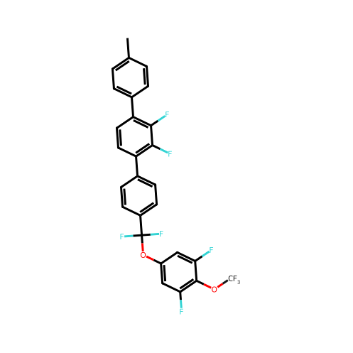 Cc1ccc(-c2ccc(-c3ccc(C(F)(F)Oc4cc(F)c(OC(F)(F)F)c(F)c4)cc3)c(F)c2F)cc1